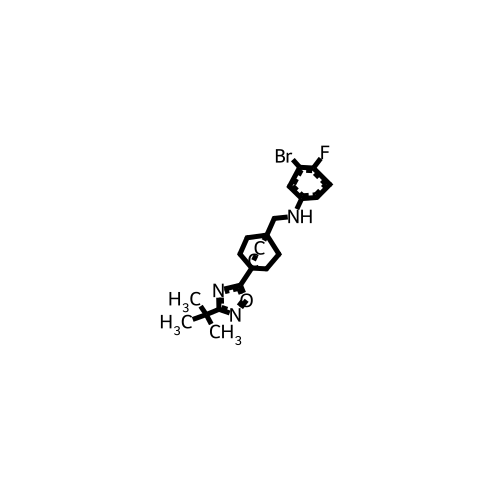 CC(C)(C)c1noc(C23CCC(CNc4ccc(F)c(Br)c4)(CC2)CC3)n1